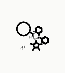 CC1=C(C)C(C)[C]([Hf+2]([NH]C(=O)C2CCCCCCCCCCC2)[SiH](c2ccccc2)c2ccccc2)=C1C.[Cl-].[Cl-]